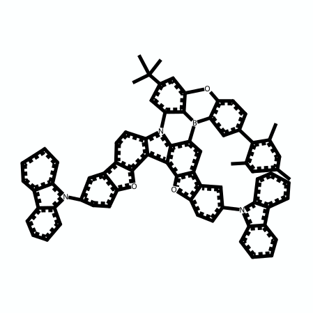 Cc1cc(C)c(-c2ccc3c(c2)B2c4c(cc(C(C)(C)C)cc4-n4c5ccc6c7cc(-n8c9ccccc9c9ccccc98)ccc7oc6c5c5c6oc7ccc(-n8c9ccccc9c9ccccc98)cc7c6cc2c54)O3)c(C)c1